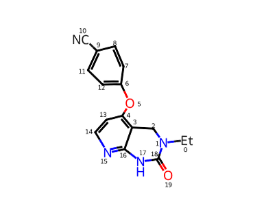 CCN1Cc2c(Oc3ccc(C#N)cc3)ccnc2NC1=O